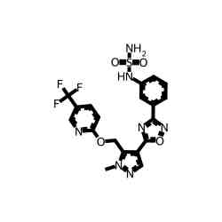 Cn1ncc(-c2nc(-c3cccc(NS(N)(=O)=O)c3)no2)c1COc1ccc(C(F)(F)F)cn1